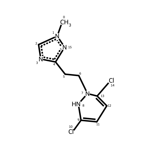 Cn1cnc(CCN2NC(Cl)=CC=C2Cl)n1